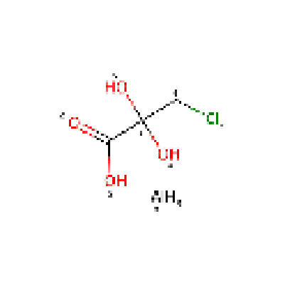 O=C(O)C(O)(O)CCl.[AlH3]